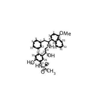 COc1ccc(C(Cc2ccccc2)NC[C@H](O)c2ccc(O)c(NS(C)(=O)=O)c2)c2ccccc12